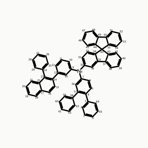 c1ccc(-c2ccc(N(c3cccc(-c4ccc5ccccc5c4-c4ccccc4)c3)c3ccc4c(c3)-c3ccccc3C43c4ccccc4-c4ccccc43)cc2-c2ccccc2)cc1